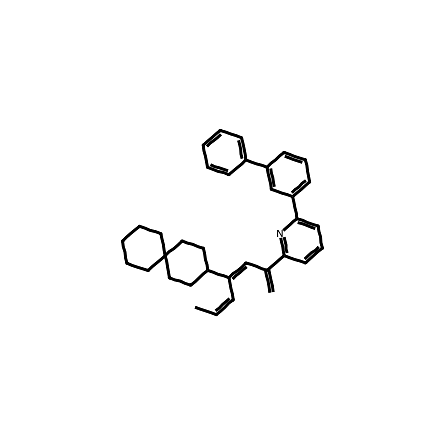 C=C(/C=C(\C=C/C)C1CCC2(CCCCC2)CC1)c1cccc(-c2cccc(-c3ccccc3)c2)n1